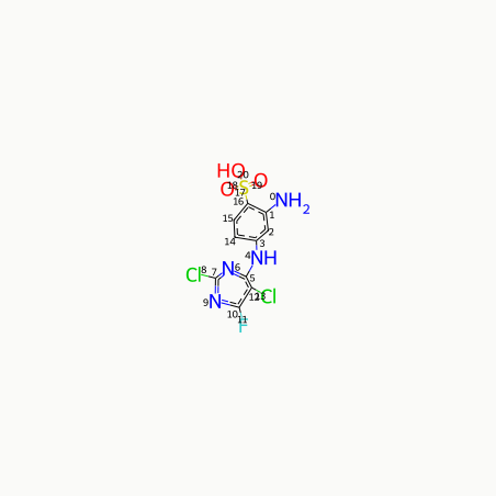 Nc1cc(Nc2nc(Cl)nc(F)c2Cl)ccc1S(=O)(=O)O